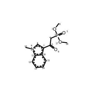 COP(=O)(CC(=O)c1cn(C)c2ccccc12)OC